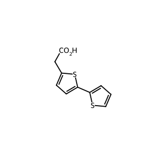 O=C(O)Cc1ccc(-c2cccs2)s1